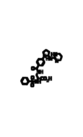 O=C(NC[C@H](NS(=O)(=O)c1ccccc1)C(=O)O)c1ccc(N2CCCC2NC2=NCCCN2)cc1